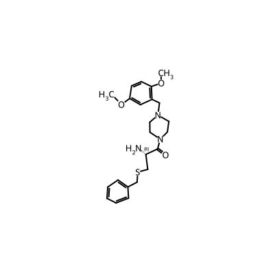 COc1ccc(OC)c(CN2CCN(C(=O)[C@@H](N)CSCc3ccccc3)CC2)c1